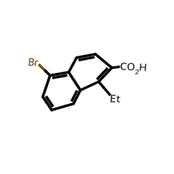 CCc1c(C(=O)O)ccc2c(Br)cccc12